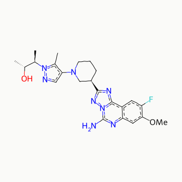 COc1cc2nc(N)n3nc([C@@H]4CCCN(c5cnn([C@H](C)[C@@H](C)O)c5C)C4)nc3c2cc1F